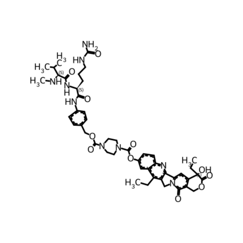 CCc1c2c(nc3ccc(OC(=O)N4CCN(C(=O)OCc5ccc(NC(=O)[C@H](CCCNC(N)=O)NC(=O)[C@@H](NC)C(C)C)cc5)CC4)cc13)-c1cc3c(c(=O)n1C2)COC(=O)[C@]3(O)CC